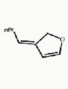 CCCC=C1C=COC1